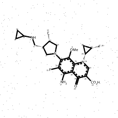 COc1c(N2C[C@H](CNC3CC3)[C@H](F)C2)c(F)c(N)c2c(=O)c(C(=O)O)cn([C@@H]3C[C@@H]3F)c12